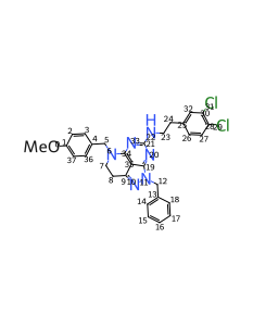 COc1ccc(CN2CCc3nn(Cc4ccccc4)c4nc(NCCc5ccc(Cl)c(Cl)c5)nc2c34)cc1